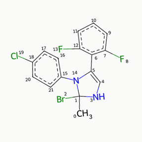 CC1(Br)NC=C(c2c(F)cccc2F)N1c1ccc(Cl)cc1